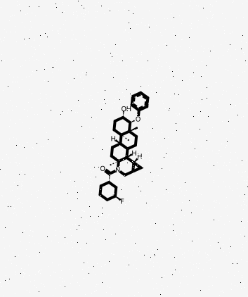 C[C@]12CC[C@H]3C(CC[C@@]4(C)[C@@H](Oc5ccccc5)[C@@H](O)CC[C@]34C)[C@@H]1[C@@H]1CC1CN2C(=O)[C@H]1CCC[C@H](F)C1